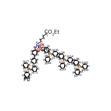 CCOC(=O)CCCCCCN(Cc1ccc(-c2ccccc2)cc1)S(C)(=O)=O.[Pd].c1ccc(P(c2ccccc2)c2ccccc2)cc1.c1ccc(P(c2ccccc2)c2ccccc2)cc1.c1ccc(P(c2ccccc2)c2ccccc2)cc1.c1ccc(P(c2ccccc2)c2ccccc2)cc1